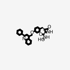 O=C1N[C@@H](C(=O)NO)[C@H]1Cc1ccc(OCc2cc(-c3ccccc3)nc3ccccc23)cc1